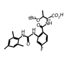 Cc1cc(C)c(NC(=O)Nc2cc(F)ccc2C(=O)N[C@H](C(=O)O)C(C)OC(C)(C)C)c(C)c1